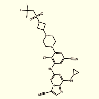 N#Cc1cc(Nc2nc(NC3CC3)c3ncc(C#N)n3n2)c(Cl)c(N2CCN(C3CN(S(=O)(=O)CC(F)(F)F)C3)CC2)c1